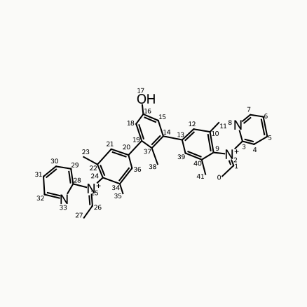 CC=[N+](c1ccccn1)c1c(C)cc(-c2cc(O)cc(-c3cc(C)c([N+](=CC)c4ccccn4)c(C)c3)c2C)cc1C